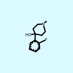 CN1CCC(O)(c2ccccc2F)CC1